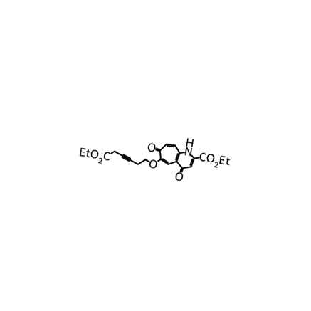 CCOC(=O)CC#CCCOc1cc2c(=O)cc(C(=O)OCC)[nH]c2ccc1=O